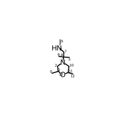 CC1CN(C(C)(C)CNI)CC(C)O1